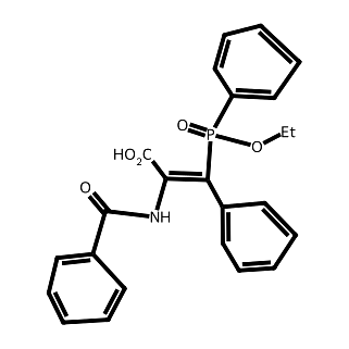 CCOP(=O)(/C(=C(/NC(=O)c1ccccc1)C(=O)O)c1ccccc1)c1ccccc1